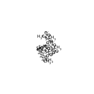 CC(SC(C)C(=O)[O-])C(=O)[O-].CC(SC(C)C(=O)[O-])C(=O)[O-].CC(SC(C)C(=O)[O-])C(=O)[O-].CCCCCCC[CH2][Sn+3].CCCCCCC[CH2][Sn+3]